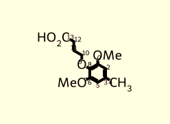 COc1cc(C)cc(OC)c1OCCCC(=O)O